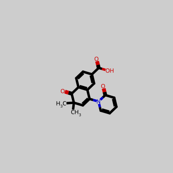 CC1(C)C=C(n2ccccc2=O)c2cc(C(=O)O)ccc2C1=O